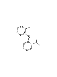 Cc1ccccc1Sc1ccccc1C(C)C